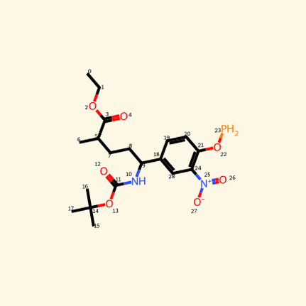 CCOC(=O)C(C)CCC(NC(=O)OC(C)(C)C)c1ccc(OP)c([N+](=O)[O-])c1